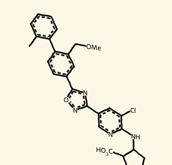 COCc1cc(-c2nc(-c3cnc(NC4CCCC4C(=O)O)c(Cl)c3)no2)ccc1-c1ccccc1C